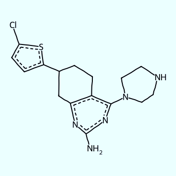 Nc1nc2c(c(N3CCNCC3)n1)CCC(c1ccc(Cl)s1)C2